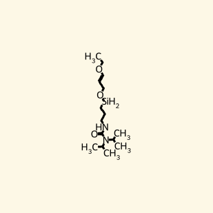 CCOC=CCO[SiH2]CCCNC(=O)N(C(C)C)C(C)C